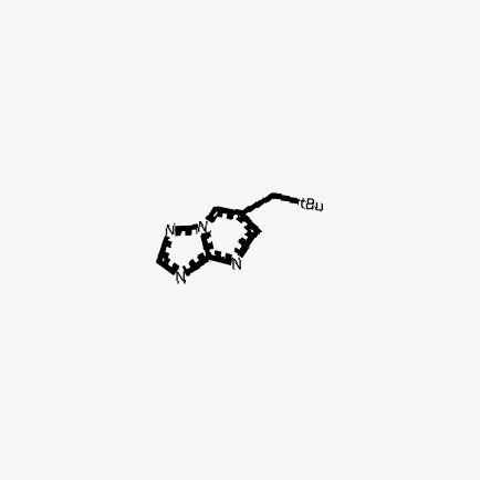 CC(C)(C)Cc1cnc2ncnn2c1